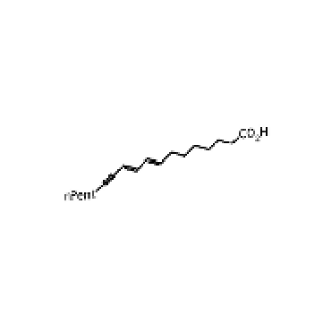 CCCCCC#C/C=C/C=C/CCCCCCC(=O)O